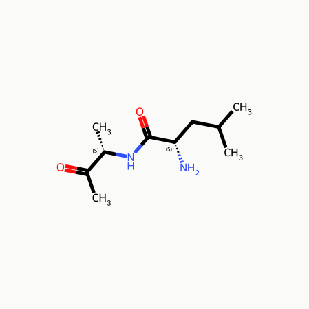 CC(=O)[C@H](C)NC(=O)[C@@H](N)CC(C)C